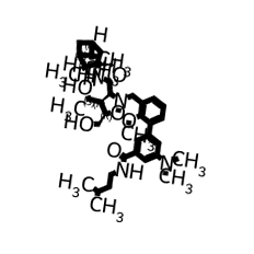 COc1c(CN2O[C@@H](CO)[C@@H]([C@H](C)O)C2C(=O)N[C@H]2C[C@H]3C[C@@H]([C@@H]2C)C3(C)C)cccc1-c1cc(C(=O)NCCC(C)C)cc(N(C)C)c1